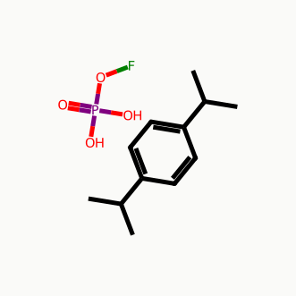 CC(C)c1ccc(C(C)C)cc1.O=P(O)(O)OF